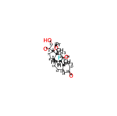 CC(C)O[C@]1(C(=O)CO)CC[C@H]2[C@@H]3CCC4=CC(=O)CC[C@]4(C)[C@@]3(F)C(=O)C[C@@]21C